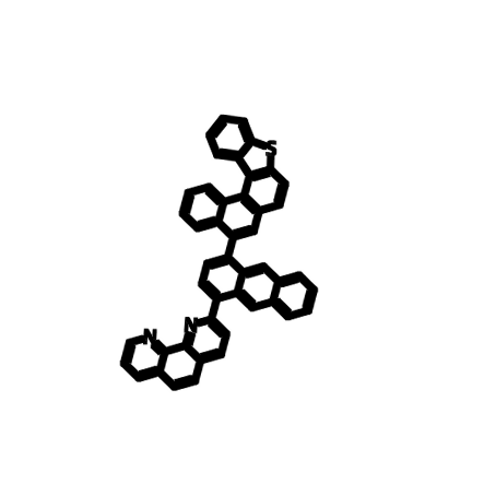 c1ccc2cc3c(-c4cc5ccc6sc7ccccc7c6c5c5ccccc45)ccc(-c4ccc5ccc6cccnc6c5n4)c3cc2c1